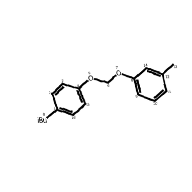 CCC(C)c1ccc(OCOc2cccc(C)c2)cc1